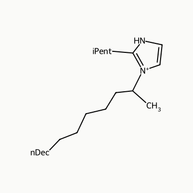 CCCCCCCCCCCCCCCC(C)[n+]1cc[nH]c1C(C)CCC